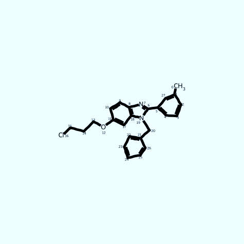 Cc1cccc(-c2nc3ccc(OCCCCl)cc3n2Cc2ccccc2)c1